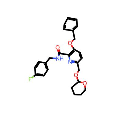 O=C(NCc1ccc(F)cc1)c1nc(COC2CCCCO2)ccc1OCc1ccccc1